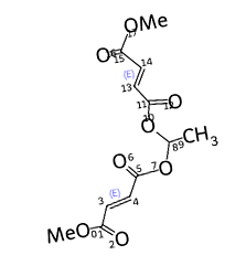 COC(=O)/C=C/C(=O)OC(C)OC(=O)/C=C/C(=O)OC